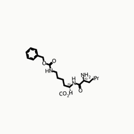 CC(C)C[C@H](N)C(=O)N[C@@H](CCCCNC(=O)OCc1ccccc1)C(=O)O